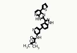 CC(C)(C)CC(=O)Nc1cncc(-c2ccc3[nH]nc(-c4nc5c(-c6cccs6)ccnc5[nH]4)c3c2)c1